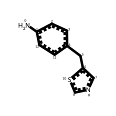 Nc1ccc(Cc2cncs2)cc1